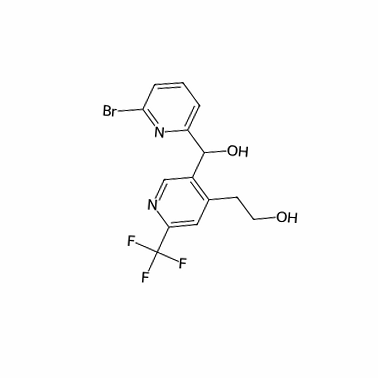 OCCc1cc(C(F)(F)F)ncc1C(O)c1cccc(Br)n1